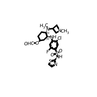 CN1CC(N(C)[C@H]2CCC(OC=O)C[C@@H]2Nc2cc(F)c(S(=O)(=O)Nc3nccs3)cc2Cl)C1